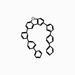 c1ccc(-c2ccc(-c3cccc(-c4ccc5oc6ccc(-c7cccc(-c8ccc(-c9ccccc9)cc8)c7)cc6c5c4)c3)cc2)cc1